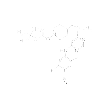 CN(CC1CCN(OC(=O)OC(C)(C)C)CC1)c1cc(Nc2cc(F)c(C#N)cc2F)ncn1